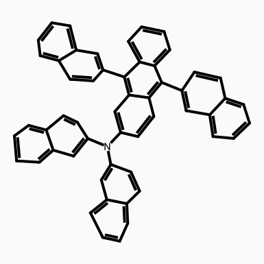 c1ccc2cc(-c3c4ccccc4c(-c4ccc5ccccc5c4)c4cc(N(c5ccc6ccccc6c5)c5ccc6ccccc6c5)ccc34)ccc2c1